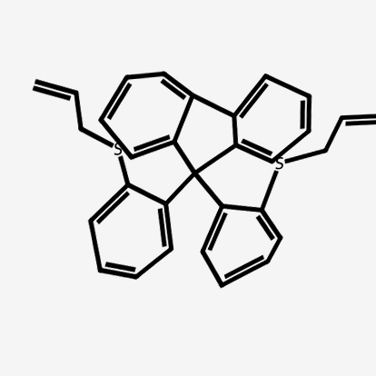 C=CCSc1ccccc1C1(c2ccccc2SCC=C)c2ccccc2-c2ccccc21